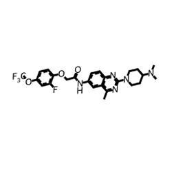 Cc1nc(N2CCC(N(C)C)CC2)nc2ccc(NC(=O)COc3ccc(OC(F)(F)F)cc3F)cc12